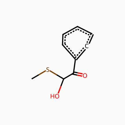 CSC(O)C(=O)c1ccccc1